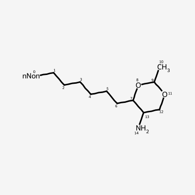 CCCCCCCCCCCCCCCC1OC(C)OCC1N